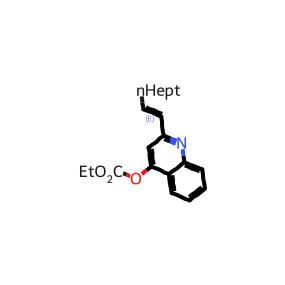 CCCCCCC/C=C/c1cc(OC(=O)OCC)c2ccccc2n1